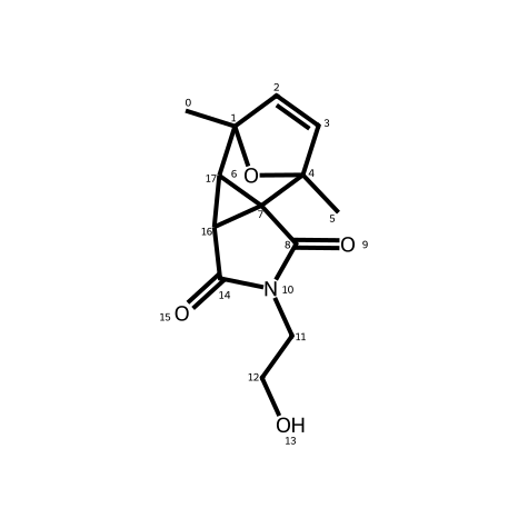 CC12C=CC(C)(O1)C13C(=O)N(CCO)C(=O)C1C23